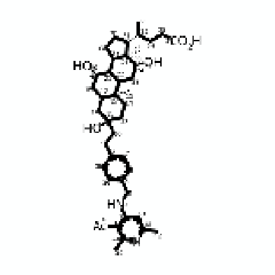 CC(=O)c1c(NCc2ccc(CC[C@@]3(O)CC[C@@]4(C)C(C[C@@H](O)C5C4C[C@H](O)[C@@]4(C)C5CC[C@@H]4C(C)CCC(=O)O)C3)cc2)cc(C)nc1C